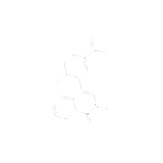 Cn1cc(-c2cc([N+](=O)[O-])ccc2F)c2ccccc2c1=O